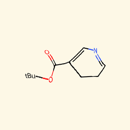 CC(C)(C)OC(=O)C1=CN=CCC1